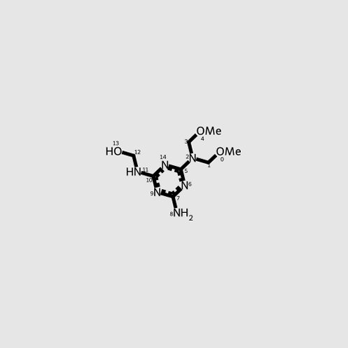 COCN(COC)c1nc(N)nc(NCO)n1